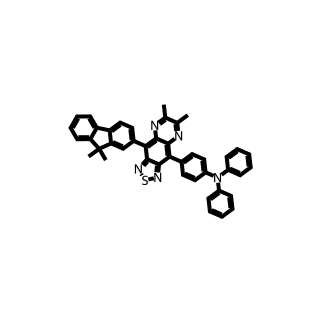 Cc1nc2c(-c3ccc(N(c4ccccc4)c4ccccc4)cc3)c3nsnc3c(-c3ccc4c(c3)C(C)(C)c3ccccc3-4)c2nc1C